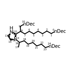 CCCCCCCCCCCCCCCCCC(CCCCCCCCCCC)c1[nH]cc[n+]1C(C)CCCCCCCCCCCCCCCC